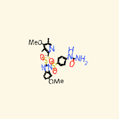 COc1ccc2nc([S+]([O-])Cc3ncc(C)c(OC)c3C)n(S(=O)(=O)c3ccc(NC(N)=O)cc3)c2c1